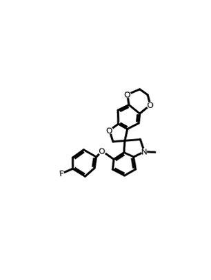 CN1CC2(COc3cc4c(cc32)OCCO4)c2c(Oc3ccc(F)cc3)cccc21